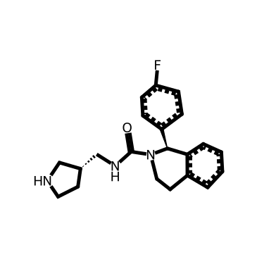 O=C(NC[C@@H]1CCNC1)N1CCc2ccccc2[C@@H]1c1ccc(F)cc1